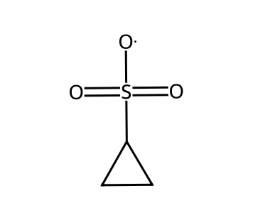 [O]S(=O)(=O)C1CC1